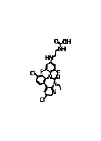 CCN1C(=O)N(c2c(F)cc(NCCNC(=O)O)cc2F)c2cc(Cl)ccc2-c2cc(Cl)cnc21